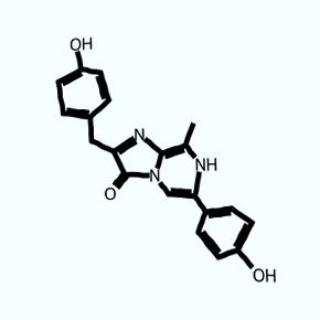 Cc1[nH]c(-c2ccc(O)cc2)cn2c(=O)c(Cc3ccc(O)cc3)nc1-2